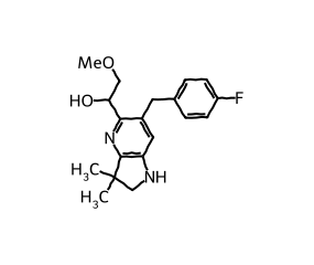 COCC(O)c1nc2c(cc1Cc1ccc(F)cc1)NCC2(C)C